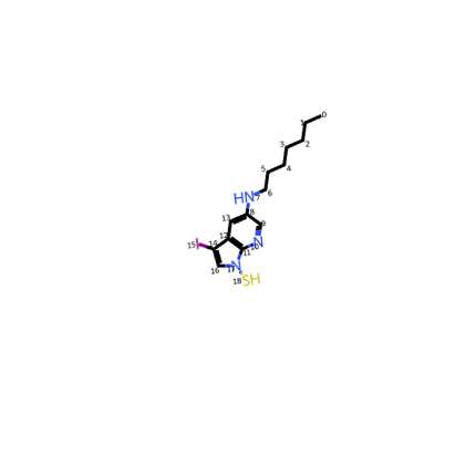 CCCCCCCNc1cnc2c(c1)c(I)cn2S